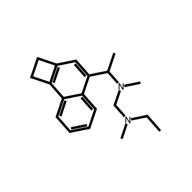 CCN(C)CN(C)C(C)c1cc2c(c3ccccc13)CC2